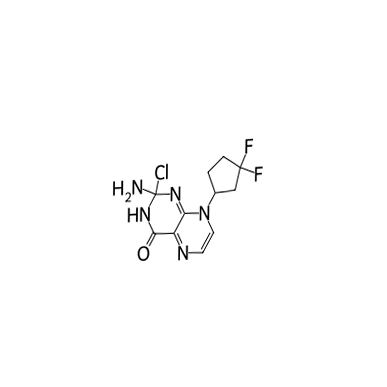 NC1(Cl)N=C2C(=NC=CN2C2CCC(F)(F)C2)C(=O)N1